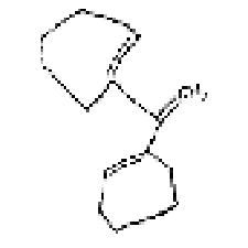 C=C(C1=CCCCC1)C1=CCCCC1